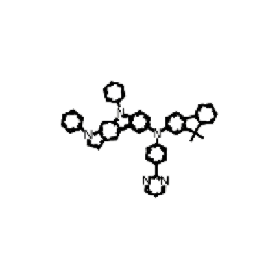 CC1(C)c2ccccc2-c2ccc(N(c3ccc(-c4ncccn4)cc3)c3ccc4c(c3)c3cc5ccn(-c6ccccc6)c5cc3n4-c3ccccc3)cc21